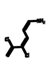 C=C(Cl)/C(Cl)=C\C=C/N